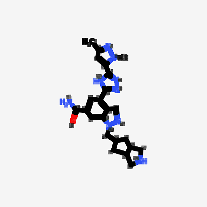 CCn1nc(C)cc1-c1nnc(-c2cc(C(N)=O)cc3c2cnn3CC2CC3CNCC3C2)[nH]1